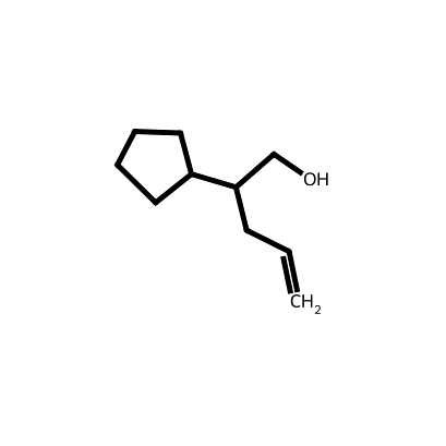 C=CCC(CO)C1CCCC1